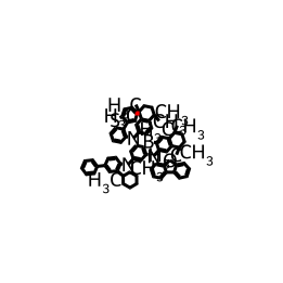 CC1(C)CCC(C)(C)c2cc3c(cc21)B1c2cc4c(cc2N(c2cccc5sc6ccccc6c25)c2cc(N5c6ccc(-c7ccccc7)cc6C6(C)CCCCC56C)cc(c21)N3c1cccc2c1oc1ccccc12)C(C)(C)CCC4(C)C